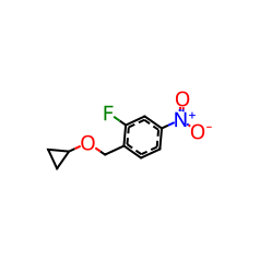 O=[N+]([O-])c1ccc(COC2CC2)c(F)c1